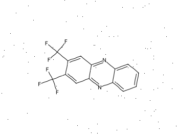 FC(F)(F)c1cc2nc3ccccc3nc2cc1C(F)(F)F